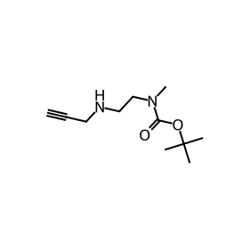 C#CCNCCN(C)C(=O)OC(C)(C)C